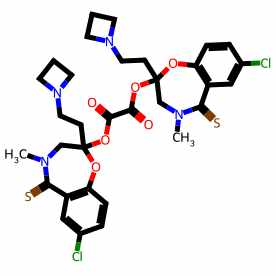 CN1CC(CCN2CCC2)(OC(=O)C(=O)OC2(CCN3CCC3)CN(C)C(=S)c3cc(Cl)ccc3O2)Oc2ccc(Cl)cc2C1=S